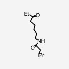 CCC(=O)CCCCCNC(=O)CC(C)C